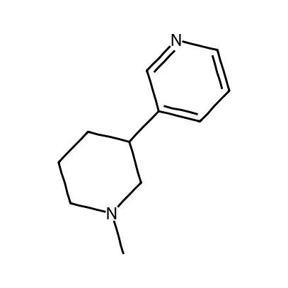 CN1CCCC(c2cccnc2)C1